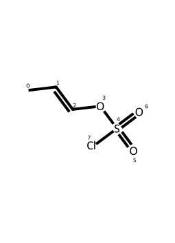 CC=COS(=O)(=O)Cl